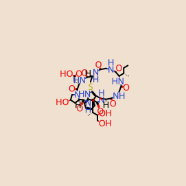 CC[C@H](C)[C@@H]1NC(=O)CNC(=O)[C@@H]2Cc3c([nH]c4ccccc34)SC[C@H](NC(=O)CNC1=O)C(=O)N[C@@H](CC(=O)O)C(=O)N1C[C@H](O)C[C@H]1C(=O)N[C@@H]([C@@H](C)[C@@H](O)CO)C(=O)N2